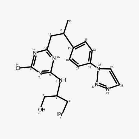 CC(C)CC(CO)Nc1nc(Cl)nc(CC(C)c2ccc(-n3ccnn3)cc2)n1